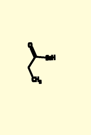 CCC(=O)[SeH]